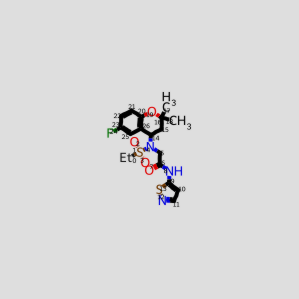 CCS(=O)(=O)N(CC(=O)Nc1ccns1)C1CC(C)(C)Oc2ccc(F)cc21